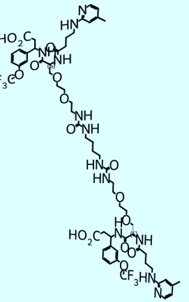 Cc1ccnc(NCCCC(=O)N[C@@H](COCCOCCNC(=O)NCCCCNC(=O)NCCOCCOC[C@H](NC(=O)CCCNc2cc(C)ccn2)C(=O)NC(CC(=O)O)c2cccc(OC(F)(F)F)c2)C(=O)NC(CC(=O)O)c2cccc(OC(F)(F)F)c2)c1